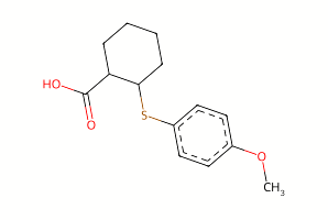 COc1ccc(SC2CCCCC2C(=O)O)cc1